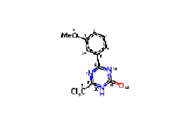 COc1cccc(-c2nc(C(Cl)(Cl)Cl)[nH]c(=O)n2)c1